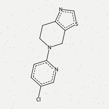 Clc1ccc(N2CCc3ncsc3C2)nc1